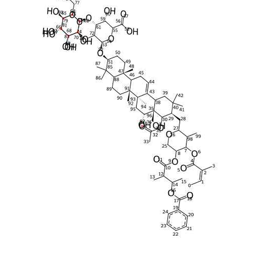 C/C=C(/C)C(=O)OC1C(OC(=O)C(C)C(C)OC(=O)c2ccccc2)COC(C[C@H]2C(OC(C)=O)[C@@]3(CO)C(CC2(C)C)C2=CCC4[C@@]5(C)CC[C@H](O[C@@H]6OC(C(=O)O)[C@@H](O)[C@@H](O[C@@H]7OC[C@@H](O)[C@@H](O)C7O)C6O[C@@H]6OC(CO)[C@H](O)[C@@H](O)C6O)C(C)(C)C5CC[C@@]4(C)[C@]2(C)C[C@H]3O)C1C